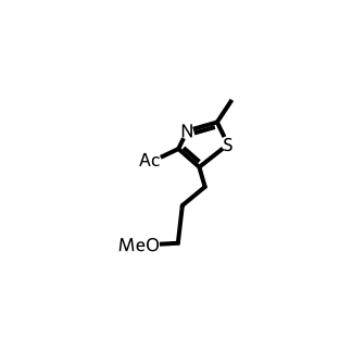 COCCCc1sc(C)nc1C(C)=O